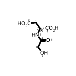 O=C(O)C[C@@H](NC(=O)CO)C(=O)O